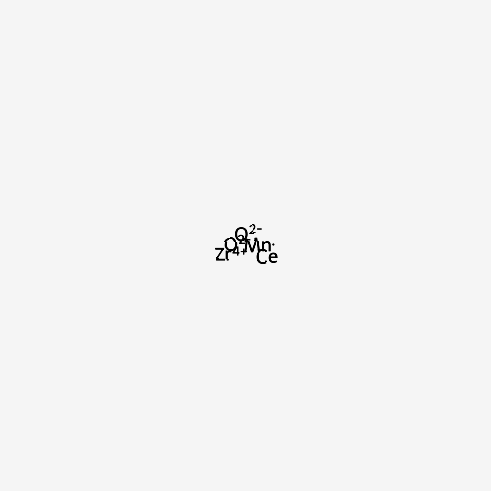 [Ce].[Mn].[O-2].[O-2].[Zr+4]